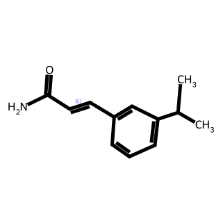 CC(C)c1cccc(/C=C/C(N)=O)c1